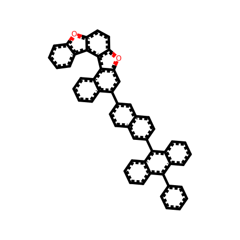 c1ccc(-c2c3ccccc3c(-c3ccc4cc(-c5cc6oc7ccc8oc9ccccc9c8c7c6c6ccccc56)ccc4c3)c3ccccc23)cc1